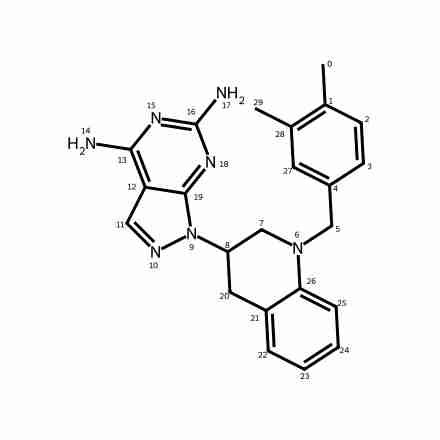 Cc1ccc(CN2CC(n3ncc4c(N)nc(N)nc43)Cc3ccccc32)cc1C